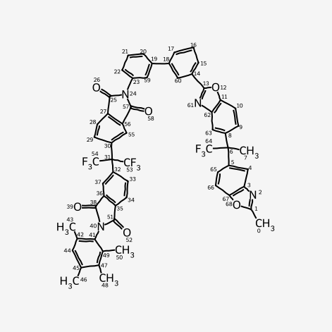 Cc1nc2cc(C(C)(c3ccc4oc(-c5cccc(-c6cccc(N7C(=O)c8ccc(C(c9ccc%10c(c9)C(=O)N(c9c(C)cc(C)c(C)c9C)C%10=O)(C(F)(F)F)C(F)(F)F)cc8C7=O)c6)c5)nc4c3)C(F)(F)F)ccc2o1